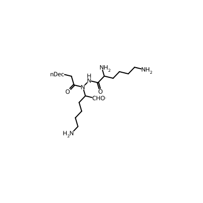 CCCCCCCCCCCC(=O)N(NC(=O)C(N)CCCCN)C([C]=O)CCCCN